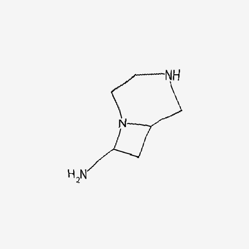 NC1CC2CNCCN12